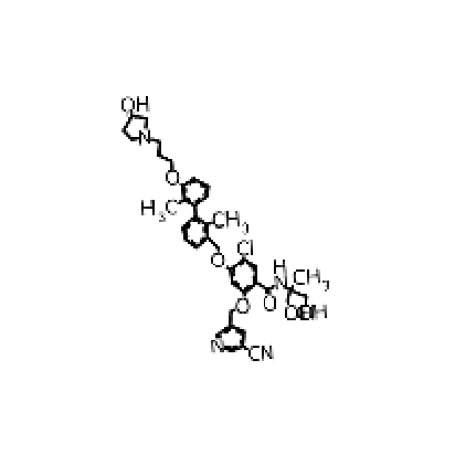 Cc1c(COc2cc(OCc3cncc(C#N)c3)c(C(=O)NC(C)(CO)CO)cc2Cl)cccc1-c1cccc(OCCCN2CC[C@H](O)C2)c1C